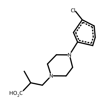 CC(CN1CCN(c2cccc(Cl)c2)CC1)C(=O)O